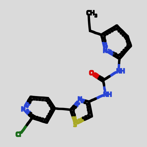 CCc1cccc(NC(=O)Nc2csc(-c3ccnc(Cl)c3)n2)n1